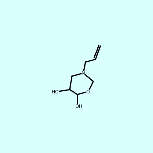 C=CCN1COC(O)C(O)C1